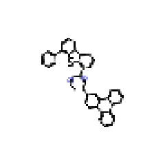 C/C=C\C(=C/Cc1ccc2c3ccccc3c3ccccc3c2c1)c1cccc2c1sc1c(-c3ccccc3)cccc12